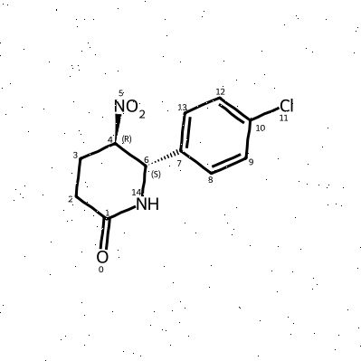 O=C1CC[C@@H]([N+](=O)[O-])[C@H](c2ccc(Cl)cc2)N1